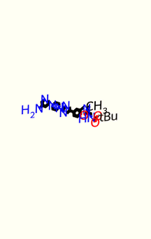 CN(Cc1cccc(-c2cnc(N3CCN(c4cncc(N)c4)CC3)nc2)c1)C(=O)CNC(=O)OC(C)(C)C